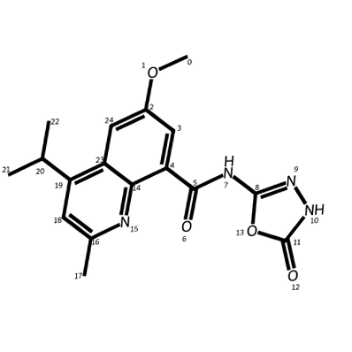 COc1cc(C(=O)Nc2n[nH]c(=O)o2)c2nc(C)cc(C(C)C)c2c1